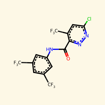 O=C(Nc1cc(C(F)(F)F)cc(C(F)(F)F)c1)c1nnc(Cl)cc1C(F)(F)F